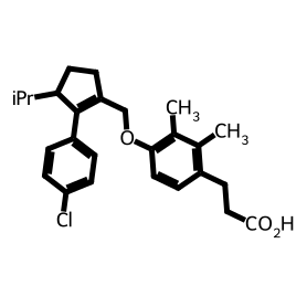 Cc1c(CCC(=O)O)ccc(OCC2=C(c3ccc(Cl)cc3)C(C(C)C)CC2)c1C